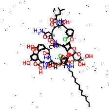 CCCCCCCCCCCCCN[C@@]1(C)C[C@H](O[C@H]2[C@H](Oc3c4cc5cc3Oc3ccc(cc3Cl)[C@@H](O)[C@@H](NC(=O)[C@H](CC)CC(C)C)C(=O)C[C@@H](CC(N)=O)C(=O)N[C@H]5C(=O)CC3C(=O)N[C@H](C(=O)N[C@H](C(=O)O)c5cc(O)cc(O)c5-c5cc3ccc5O)[C@H](O)c3ccc(c(Cl)c3)O4)O[C@H](CO)[C@@H](O)[C@@H]2O)O[C@@H](C)[C@H]1O